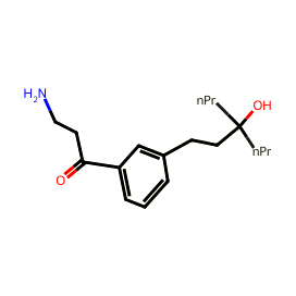 CCCC(O)(CCC)CCc1cccc(C(=O)CCN)c1